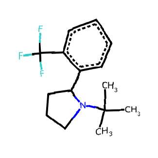 CC(C)(C)N1CCCC1c1ccccc1C(F)(F)F